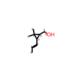 CC=CC1C(CO)C1(C)C